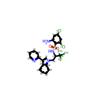 Nc1cc(Cl)cc(Cl)c1S(=O)(=O)NC(Cn1cc(-c2ccccn2)c2ccccc21)C(F)(F)F